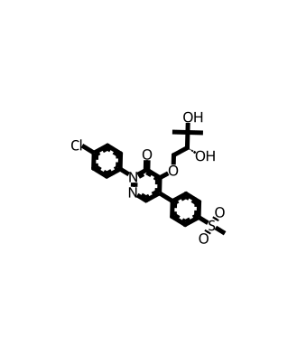 CC(C)(O)[C@H](O)COc1c(-c2ccc(S(C)(=O)=O)cc2)cnn(-c2ccc(Cl)cc2)c1=O